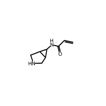 C=CC(=O)NC1C2CNCC21